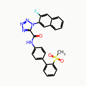 CS(=O)(=O)c1ccccc1-c1ccc(NC(=O)c2nnnn2-c2cc3ccccc3cc2F)cc1